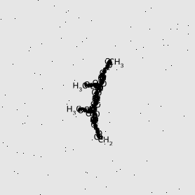 C=CC(=O)OCCCCOc1ccc(C(=O)Oc2ccc(OC(=O)C3CCC(C(=O)Oc4ccc(OC(=O)c5ccc(OCCCCOC(C)=O)cc5)c(C(=O)OCCOC)c4)CC3)cc2C(=O)OCCOC)cc1